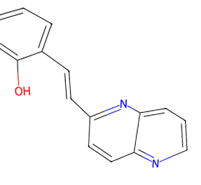 Oc1ccccc1C=Cc1ccc2ncccc2n1